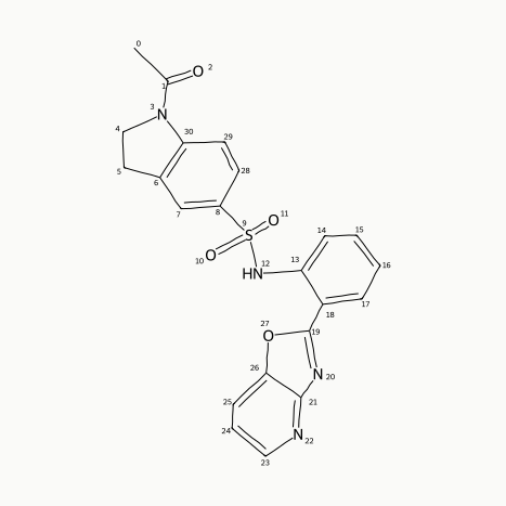 CC(=O)N1CCc2cc(S(=O)(=O)Nc3ccccc3-c3nc4ncccc4o3)ccc21